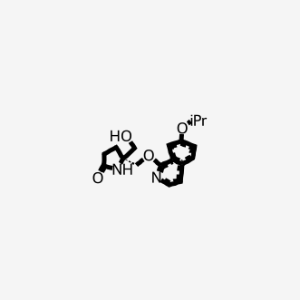 CC(C)Oc1ccc2ccnc(OC[C@@]3(CO)CCC(=O)N3)c2c1